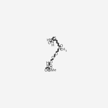 COC(=O)C(CO)NC(=O)COCCOCCOCCCN(C)C(=O)CCCCC1SCC2NC(=O)NC21